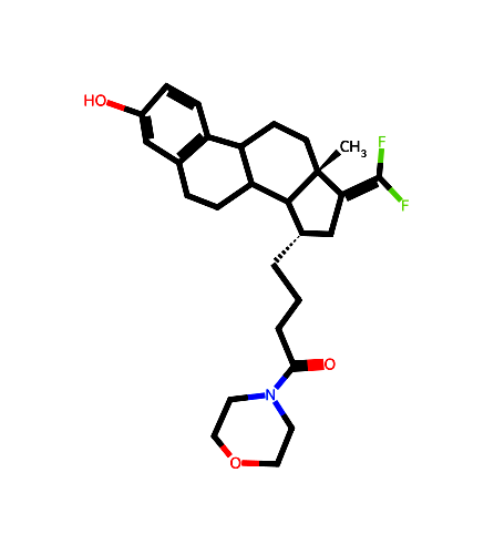 C[C@]12CCC3c4ccc(O)cc4CCC3C1[C@@H](CCCC(=O)N1CCOCC1)CC2=C(F)F